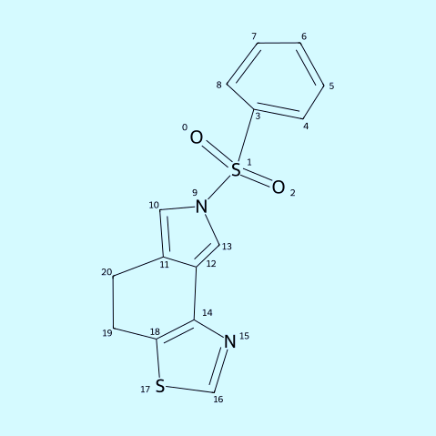 O=S(=O)(c1ccccc1)n1cc2c(c1)-c1ncsc1CC2